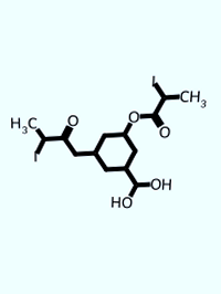 CC(I)C(=O)CC1CC(OC(=O)C(C)I)CC(C(O)O)C1